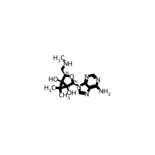 CNC[C@H]1O[C@@H](n2cnc3c(N)ncnc32)[C@]2(O)C(C)(C)[C@]12O